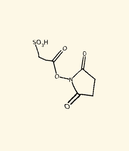 O=C(CS(=O)(=O)O)ON1C(=O)CCC1=O